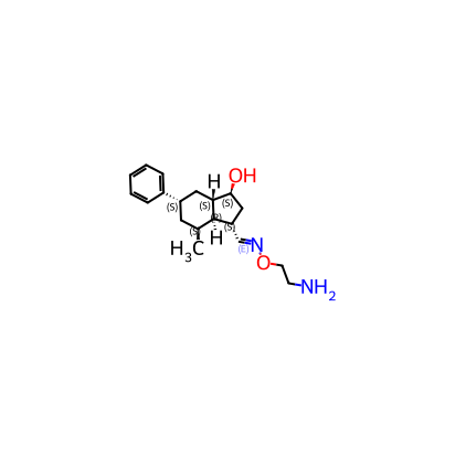 C[C@H]1C[C@H](c2ccccc2)C[C@H]2[C@H]1[C@@H](/C=N/OCCN)C[C@@H]2O